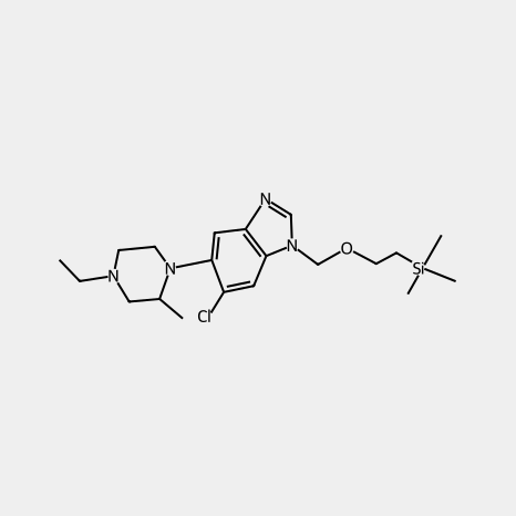 CCN1CCN(c2cc3ncn(COCC[Si](C)(C)C)c3cc2Cl)C(C)C1